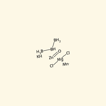 BBB.[Cl][Mg][Cl].[KH].[Mn].[O]=[Zn]